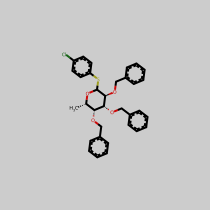 C[C@@H]1OC(Sc2ccc(Cl)cc2)[C@@H](OCc2ccccc2)[C@H](OCc2ccccc2)[C@@H]1OCc1ccccc1